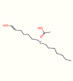 CC(=O)O.CCCCCCCCCCCCCC=CO